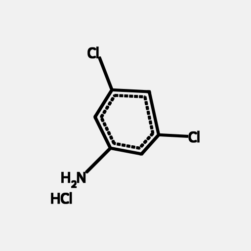 Cl.Nc1cc(Cl)cc(Cl)c1